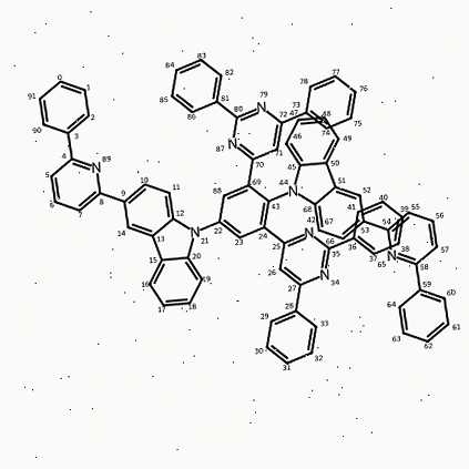 c1ccc(-c2cccc(-c3ccc4c(c3)c3ccccc3n4-c3cc(-c4cc(-c5ccccc5)nc(-c5ccccc5)n4)c(-n4c5ccccc5c5cc(-c6cccc(-c7ccccc7)n6)ccc54)c(-c4cc(-c5ccccc5)nc(-c5ccccc5)n4)c3)n2)cc1